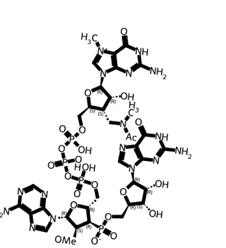 CO[C@@H]1[C@H](P(=O)([O-])OC[C@H]2O[C@@H](n3cnc4c(=O)[nH]c(N)nc43)[C@H](O)[C@@H]2O)[C@@H](COP(=O)(O)OP(=O)(O)OP(=O)(O)OC[C@H]2O[C@@H](n3c[n+](C)c4c(=O)[nH]c(N)nc43)[C@H](O)[C@@H]2CN(C)C(C)=O)O[C@H]1n1cnc2c(N)ncnc21